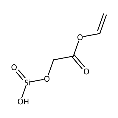 C=COC(=O)CO[Si](=O)O